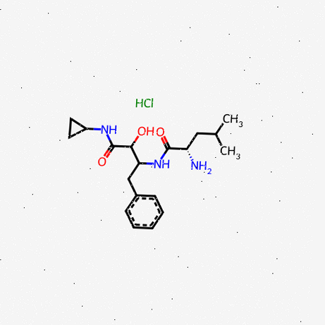 CC(C)C[C@H](N)C(=O)NC(Cc1ccccc1)C(O)C(=O)NC1CC1.Cl